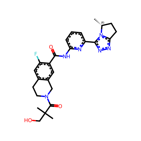 C[C@@H]1CCc2nnc(-c3cccc(NC(=O)c4cc5c(cc4F)CCN(C(=O)C(C)(C)CO)C5)n3)n21